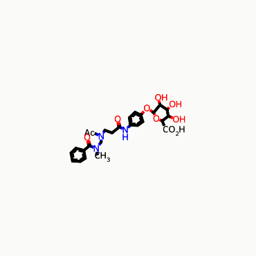 CC(=O)N(CCC(=O)Nc1ccc(OC2OC(C(=O)O)C(O)C(O)C2O)cc1)CN(C)C(=O)c1ccccc1